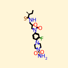 CC[C@H](C)C(=S)NCC1CN(c2ccc(N3CCN(S(N)(=O)=O)CC3)c(F)c2)C(=O)O1